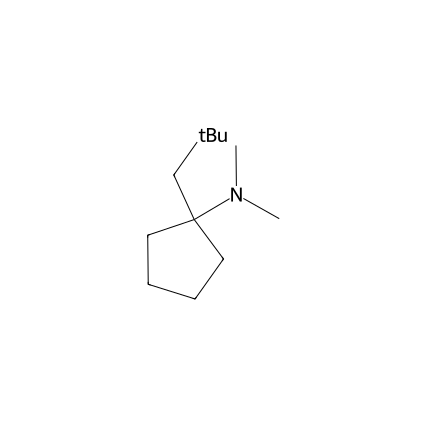 CN(C)C1(CC(C)(C)C)CCCC1